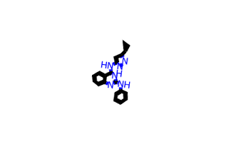 c1ccc(Nc2nc(Nc3cc(C4CC4)n[nH]3)c3ccccc3n2)cc1